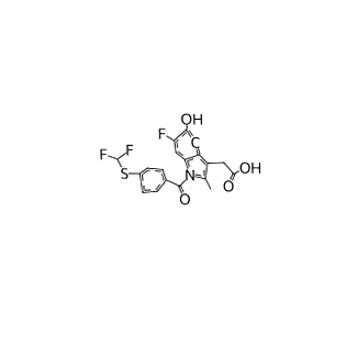 Cc1c(CC(=O)O)c2cc(O)c(F)cc2n1C(=O)c1ccc(SC(F)F)cc1